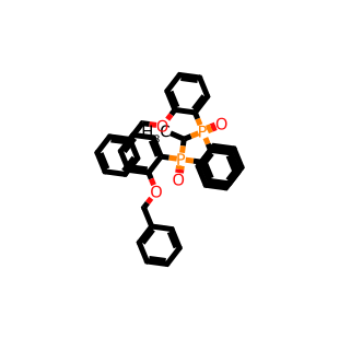 CC(P(=O)(c1ccccc1)c1ccccc1OCc1ccccc1)P(=O)(c1ccccc1)c1ccccc1OCc1ccccc1